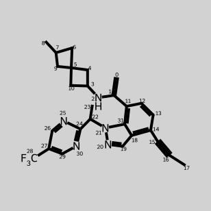 C=C(NC1CC2(CC(C)C2)C1)c1ccc(C#CC)c2cnn(C(C)c3ncc(C(F)(F)F)cn3)c12